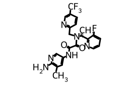 Cc1cc(NC(=O)C(=O)N(Cc2ccc(C(F)(F)F)cn2)[C@H](C)c2ncccc2F)cnc1N